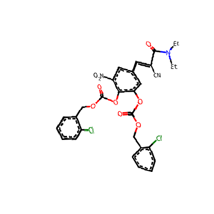 CCN(CC)C(=O)/C(C#N)=C/c1cc(OC(=O)OCc2ccccc2Cl)c(OC(=O)OCc2ccccc2Cl)c([N+](=O)[O-])c1